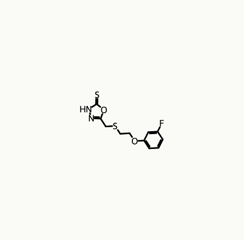 Fc1cccc(OCCSCc2n[nH]c(=S)o2)c1